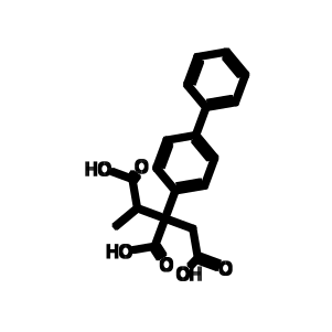 CC(C(=O)O)C(CC(=O)O)(C(=O)O)c1ccc(-c2ccccc2)cc1